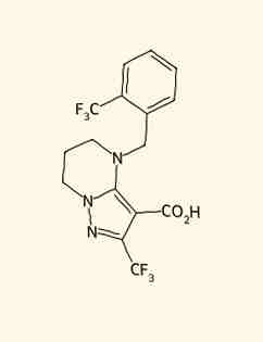 O=C(O)c1c(C(F)(F)F)nn2c1N(Cc1ccccc1C(F)(F)F)CCC2